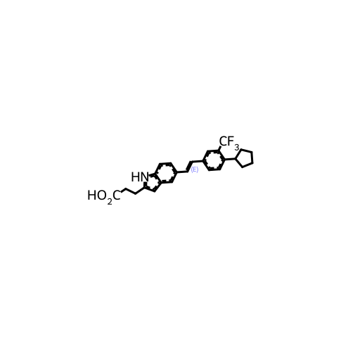 O=C(O)CCc1cc2cc(/C=C/c3ccc(C4CCCC4)c(C(F)(F)F)c3)ccc2[nH]1